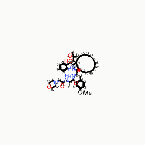 COc1ccc(C[C@H](NC(=O)[C@H](C)NC(=O)CN2CCOCC2)C(=O)N[C@@H](Cc2ccccc2)C2(C(O)[C@@]3(C)CO3)CCCCCCCCCCCCCC2)cc1